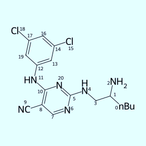 CCCCC(N)CNc1ncc(C#N)c(Nc2cc(Cl)cc(Cl)c2)n1